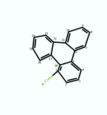 Fc1cccc2c3ccccc3c3ccccc3c12